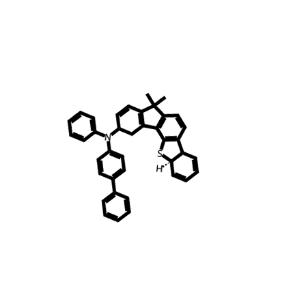 CC1(C)C2=C(CC(N(c3ccccc3)c3ccc(-c4ccccc4)cc3)C=C2)c2c1ccc1c2S[C@@H]2C=CC=CC12